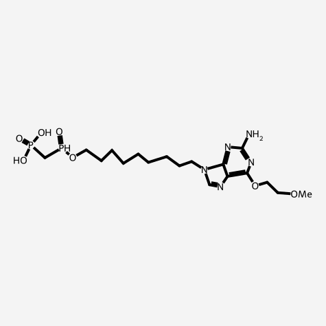 COCCOc1nc(N)nc2c1ncn2CCCCCCCCCO[PH](=O)CP(=O)(O)O